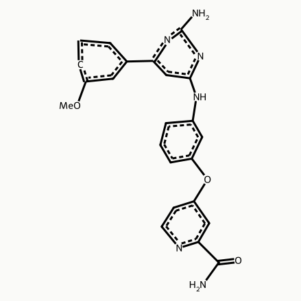 COc1cccc(-c2cc(Nc3cccc(Oc4ccnc(C(N)=O)c4)c3)nc(N)n2)c1